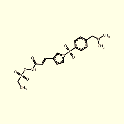 CCS(=O)(=O)ONC(=O)/C=C/c1ccn(S(=O)(=O)c2ccc(CN(C)C)cc2)c1